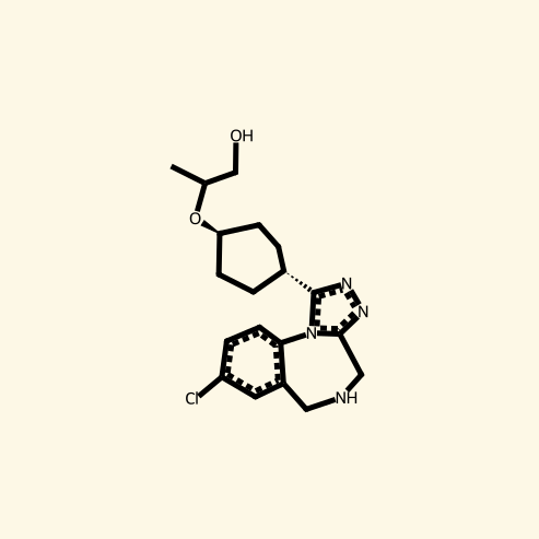 CC(CO)O[C@H]1CC[C@H](c2nnc3n2-c2ccc(Cl)cc2CNC3)CC1